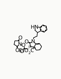 CCOC(=O)[C@@]12CCCC=C1N(CCC1CNc3ccccc31)C(=O)[C@H]2CC(=O)ON1C(=O)CCC1=O